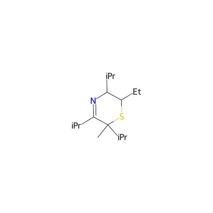 CCC1SC(C)(C(C)C)C(C(C)C)=NC1C(C)C